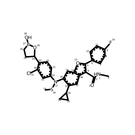 CNC(=O)c1c(-c2ccc(F)cc2)oc2cc(N(SC)c3ccc(C4CCB(O)O4)c(Cl)c3)c(C3CC3)cc12